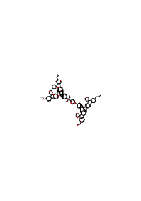 CCCc1ccc2c(c1)C1(CCCC1)c1cc(N(c3ccc(-c4ccc(C(CC)(CC)c5ccc(N(c6ccc7c(c6)C6(CCCC6)c6cc(CCC)ccc6-7)c6ccc7c(c6)C6(CCCC6)c6cc(CCC)ccc6-7)cc5)cc4)cc3)c3ccc4c(c3)C3(CCCC3)c3cc(CCC)ccc3-4)ccc1-2